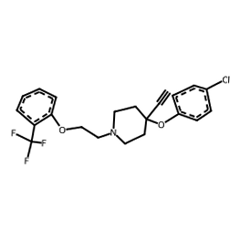 C#CC1(Oc2ccc(Cl)cc2)CCN(CCOc2ccccc2C(F)(F)F)CC1